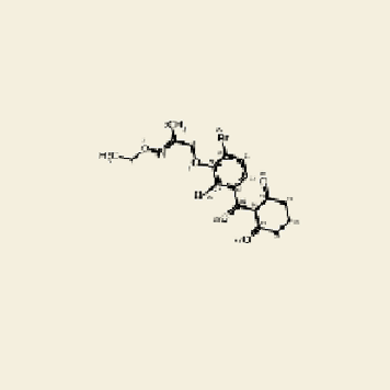 CCON=C(C)COc1c(Br)ccc(C(=O)C2C(=O)CCCC2=O)c1Br